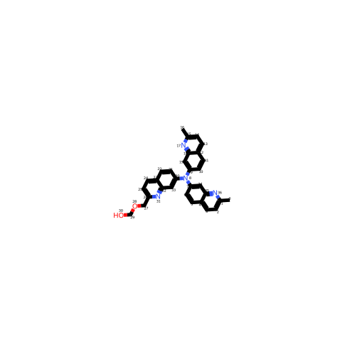 Cc1ccc2ccc(N(c3ccc4ccc(C)nc4c3)c3ccc4ccc(COCO)nc4c3)cc2n1